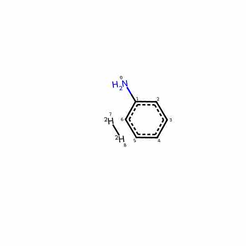 Nc1ccccc1.[2H][2H]